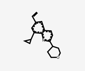 C=Cc1cc(C2CC2)c2nc(C3CCOCC3)ccc2c1